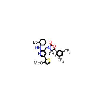 CCC1CCCCC1Nc1ncc(-c2sccc2OC)cc1CN1C(=O)O[C@H](c2cc(C(F)(F)F)cc(C(F)(F)F)c2)[C@@H]1C